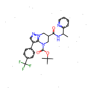 CC(NC(=O)C1CN(C(=O)OC(C)(C)C)c2c(-c3ccc(C(F)(F)F)cc3)cnn2C1)c1ccccn1